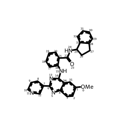 COc1ccc2nc(-c3cccnc3)nc(Nc3ccccc3C(=O)NC3CCc4ccccc43)c2c1